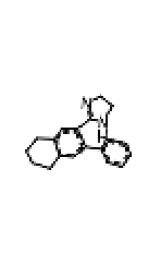 c1ccc(-c2cc3c(cc2C2=NCCN2)CCCC3)cc1